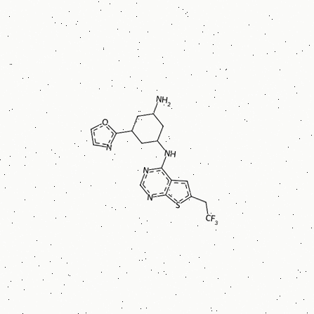 NC1CC(Nc2ncnc3sc(CC(F)(F)F)cc23)CC(c2ncco2)C1